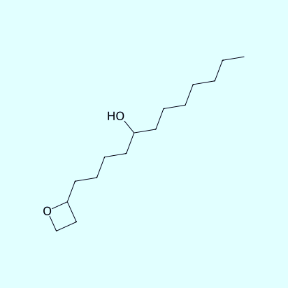 CCCCCCCC(O)CCCCC1CCO1